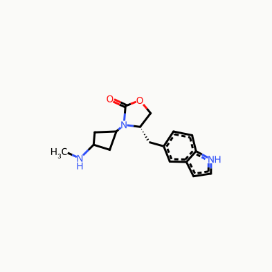 CNC1CC(N2C(=O)OC[C@@H]2Cc2ccc3[nH]ccc3c2)C1